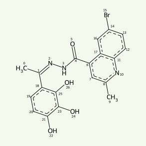 CC(=NNC(=O)c1cc(C)nc2ccc(Br)cc12)c1ccc(O)c(O)c1O